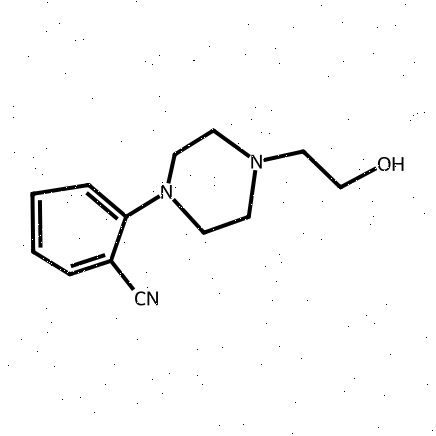 N#Cc1ccccc1N1CCN(CCO)CC1